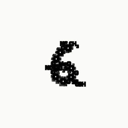 COc1ccc(C(=O)c2ccc(Oc3ccc(Cc4ccc(Oc5cccc(Oc6ccc(-c7ccc(Oc8cccc(C)c8C#N)cc7)cc6)c5C#N)cc4)cc3)c(SOOO)c2)cc1S(=O)(=O)O